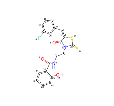 O=C(NCCN1C(=O)/C(=C\c2cccc(F)c2)SC1=S)c1ccccc1O